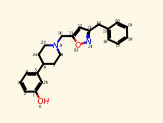 Oc1cccc(C2CCN(Cc3cc(Cc4ccccc4)no3)CC2)c1